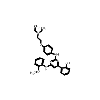 CCN(CC)CCOc1ccc(Nc2nc(Nc3ccccc3OC)cc(-c3ccccc3O)n2)cc1